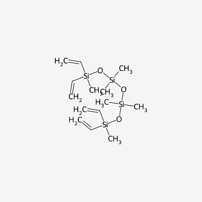 C=C[Si](C)(C=C)O[Si](C)(C)O[Si](C)(C)O[Si](C)(C=C)C=C